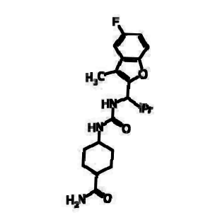 Cc1c(C(NC(=O)NC2CCC(C(N)=O)CC2)C(C)C)oc2ccc(F)cc12